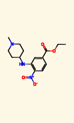 CCOC(=O)c1ccc([N+](=O)[O-])c(NC2CCN(C)CC2)c1